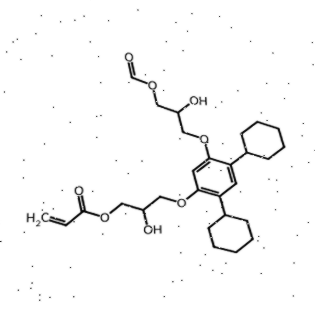 C=CC(=O)OCC(O)COc1cc(OCC(O)COC=O)c(C2CCCCC2)cc1C1CCCCC1